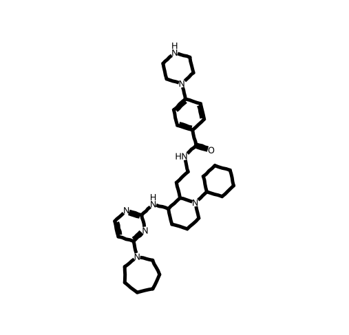 O=C(NCCC1C(Nc2nccc(N3CCCCCC3)n2)CCCN1C1CCCCC1)c1ccc(N2CCNCC2)cc1